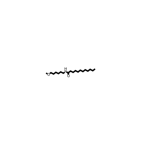 CCCCCCCCCCCC(=O)NCCCCCCOC